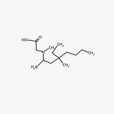 BC(CC(C)(CC)CCCC)N(C)CC(=O)O